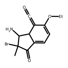 CCOC1=CC=C2C(=O)C(C)(Br)C(N)C2C1=C=O